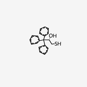 O[C@H](CS)C(c1ccccc1)(c1ccccc1)c1ccccc1